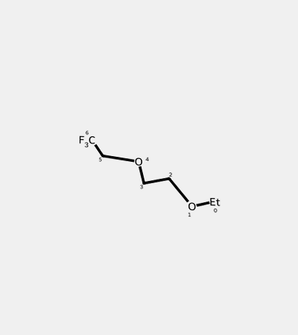 CCOCCOCC(F)(F)F